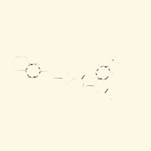 O=C(O)CC(NC(=O)C1CC(CCc2ccc3c(n2)NCCC3)C1)c1cnc(C(F)(F)F)nc1